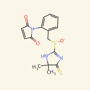 CC1(C)NC([S+]([O-])Cc2ccccc2N2C(=O)C=CC2=O)=NC1=S